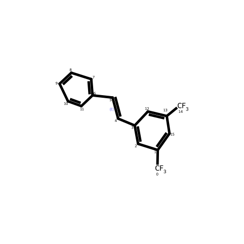 FC(F)(F)c1cc(/C=C/c2cc[c]cc2)cc(C(F)(F)F)c1